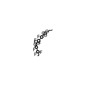 C=Cc1c(F)cc(-c2ccc(OC(F)(F)c3c(F)cc(-c4ccc(C5OCC(OCCCC)CO5)cc4F)cc3F)cc2F)cc1F